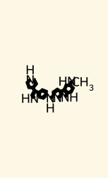 CNC1CCc2[nH]c3nc(Nc4ccc5c(C6CCNCC6)c[nH]c5c4)ccc3c2C1